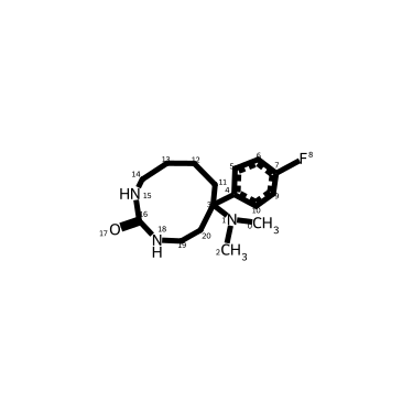 CN(C)C1(c2ccc(F)cc2)CCCCNC(=O)NCC1